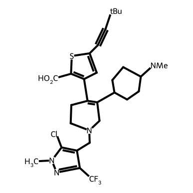 CNC1CCC(C2=C(c3cc(C#CC(C)(C)C)sc3C(=O)O)CCN(Cc3c(C(F)(F)F)nn(C)c3Cl)C2)CC1